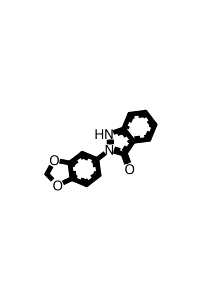 O=c1c2ccccc2[nH]n1-c1ccc2c(c1)OCO2